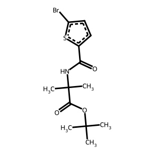 CC(C)(C)OC(=O)C(C)(C)NC(=O)c1ccc(Br)s1